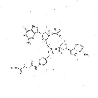 B[P@]1(=O)OC[C@H]2O[C@@H](n3cnc4c(N)ncnc43)[C@H](F)[C@@H]2O[P@](=O)(SCc2ccc(NC(=O)CNC(=O)CCCCCC)cc2)OC[C@H]2O[C@@H](n3cnc4c(=O)[nH]c(N)nc43)[C@H](F)[C@@H]2O1